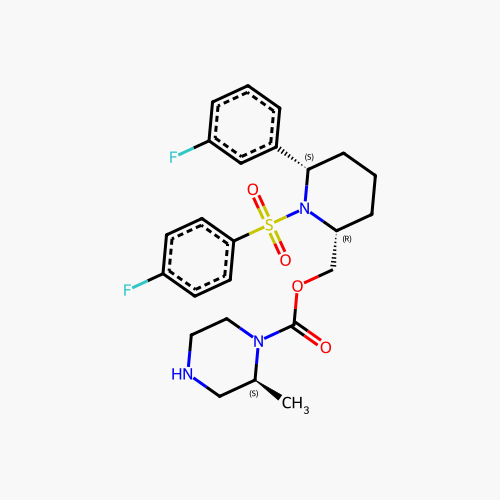 C[C@H]1CNCCN1C(=O)OC[C@H]1CCC[C@@H](c2cccc(F)c2)N1S(=O)(=O)c1ccc(F)cc1